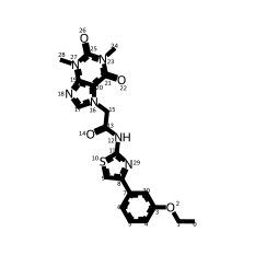 CCOc1cccc(-c2csc(NC(=O)Cn3cnc4c3c(=O)n(C)c(=O)n4C)n2)c1